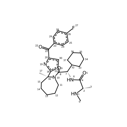 CN[C@@H](C)C(=O)N[C@H](C(=O)N1CCCCC[C@@]1(C)c1nc(C(=O)c2ccc(F)cc2)cs1)C1CCCCC1